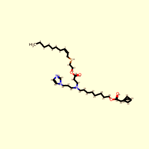 CCCCCCC/C=C\CSCCOC(=O)CCN(CCCCCCCCOC(=O)CC12CC(C1)C2)CCCn1ccnc1